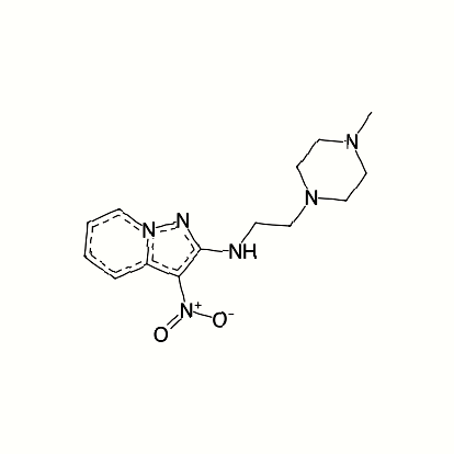 CN1CCN(CCNc2nn3ccccc3c2[N+](=O)[O-])CC1